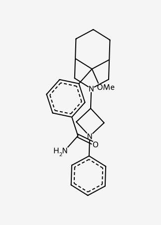 COC1(c2cccc(C(N)=O)c2)C2CCCC1CN(C1CN(c3ccccc3)C1)C2